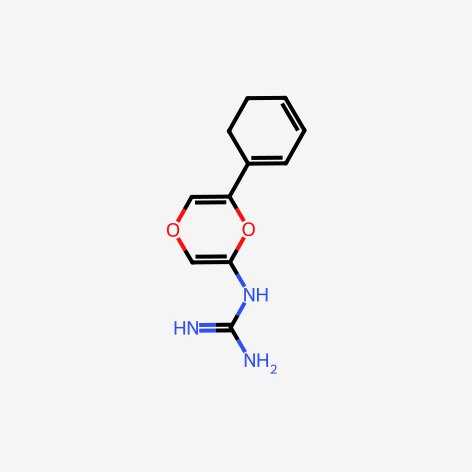 N=C(N)NC1=COC=C(C2=CC=CCC2)O1